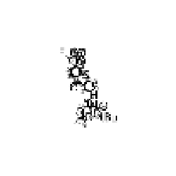 CC(C)(C)OC(=O)NC1(CCc2ccc3sc4cc(OS(=O)(=O)C(F)(F)F)ccc4c(=O)c3c2)COC(C)(C)OC1